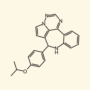 CC(C)Oc1ccc(C2Nc3ccccc3-c3ncnn4ccc2c34)cc1